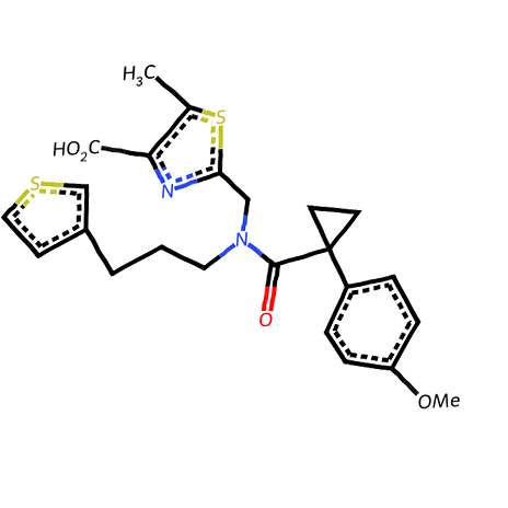 COc1ccc(C2(C(=O)N(CCCc3ccsc3)Cc3nc(C(=O)O)c(C)s3)CC2)cc1